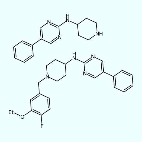 CCOc1cc(CN2CCC(Nc3ncc(-c4ccccc4)cn3)CC2)ccc1F.c1ccc(-c2cnc(NC3CCNCC3)nc2)cc1